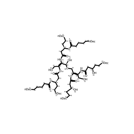 CCCCCCCCCCCCCCC(=O)O[C@H](CCCCCCCCCCCC)CC(=O)N/C(=C(\CO)OC(=O)C[C@@H](CCCCCCCCCCCC)OC(=O)CCCCCCCCCCCCCC)[C@@H](O)OC/C(OC(=O)C[C@H](O)CCCCCCCCCCCC)=C(/CO)NC(=O)C[C@H](O)CCCCCCCCCCCC